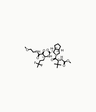 COCCNC(=O)C(=O)[C@H](CCC(C)(F)F)NC(=O)[C@@H]1[C@H]2CCC[C@H]2CN1C(=O)[C@@H](NC(=O)OC)C(C)(C)C